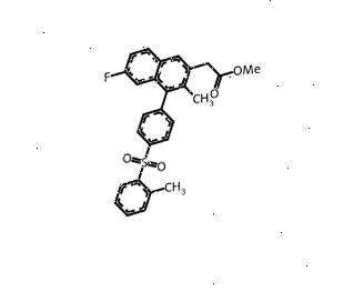 COC(=O)Cc1cc2ccc(F)cc2c(-c2ccc(S(=O)(=O)c3ccccc3C)cc2)c1C